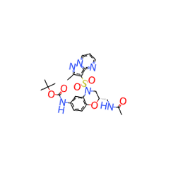 CC(=O)NC[C@H]1CN(S(=O)(=O)c2c(C)nn3cccnc23)c2cc(NC(=O)OC(C)(C)C)ccc2O1